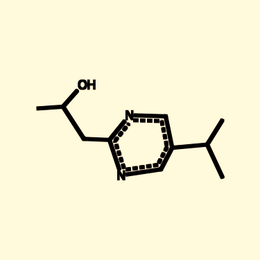 CC(O)Cc1ncc(C(C)C)cn1